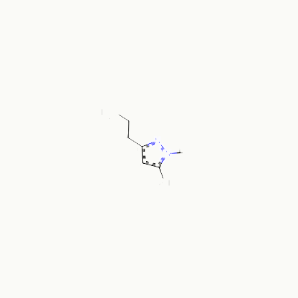 [CH2]CCc1cc(C)n(C)n1